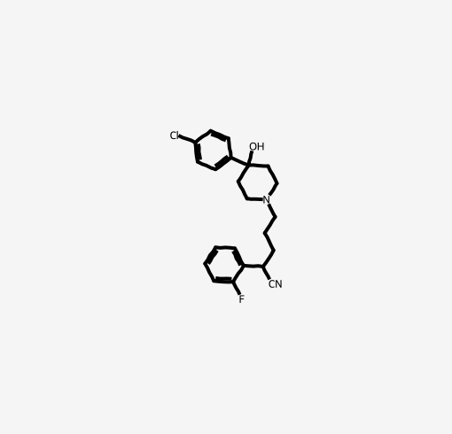 N#CC(CCCN1CCC(O)(c2ccc(Cl)cc2)CC1)c1ccccc1F